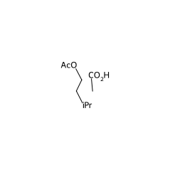 CC(=O)O.CC(=O)OCCC(C)C